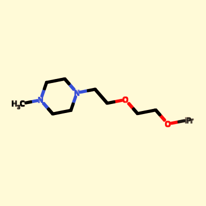 CC(C)OCCOCCN1CCN(C)CC1